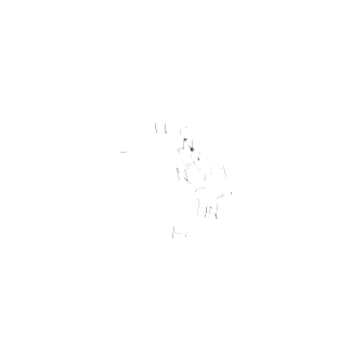 Cn1cc2c(n1)c(O)c(C(=O)NC13CC4CC(CC(O)(C4)C1)C3)c(=O)n2CCCCF